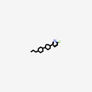 CCCC1CCC(C2CCC(c3ccc(F)nc3)CC2)CC1